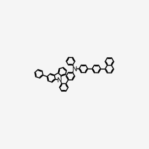 c1ccc(-c2ccc3c(c2)c2ccccc2n3-c2ccccc2-c2ccc(N(c3ccccc3)c3ccc(-c4ccc(-c5cccc6ccccc56)cc4)cc3)cc2)cc1